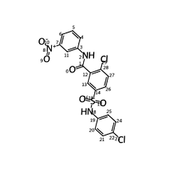 O=C(Nc1cccc([N+](=O)[O-])c1)c1cc(S(=O)(=O)Nc2ccc(Cl)cc2)ccc1Cl